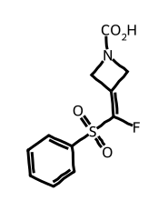 O=C(O)N1CC(=C(F)S(=O)(=O)c2ccccc2)C1